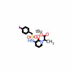 CC(C(=O)OC(C)(C)C)n1cccc(NS(=O)(=O)Cc2ccc(I)cc2)c1=O